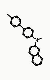 Cc1ccc(-c2ccc(N(C)c3ccc4ccccc4c3)cc2)cc1